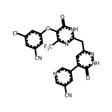 N#Cc1cc(Cl)cc(Oc2c(C(F)(F)F)nc(Cc3cc(-c4cncc(C#N)c4)c(=O)[nH]n3)[nH]c2=O)c1